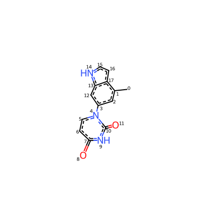 Cc1cc(-n2ccc(=O)[nH]c2=O)cc2[nH]ccc12